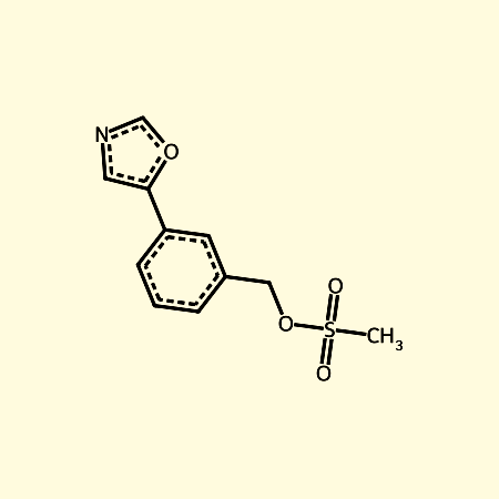 CS(=O)(=O)OCc1cccc(-c2cnco2)c1